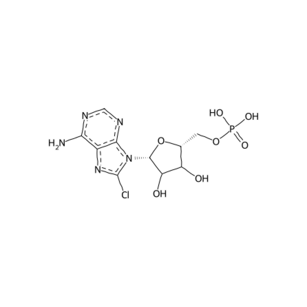 Nc1ncnc2c1nc(Cl)n2[C@@H]1O[C@H](COP(=O)(O)O)C(O)C1O